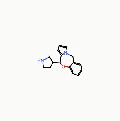 c1ccc2c(c1)Cn1cccc1C(C1CCNC1)O2